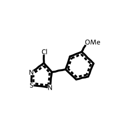 COc1cccc(-c2nsnc2Cl)c1